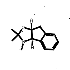 CN1[C@H]2c3ccccc3C[C@H]2OC1(C)C